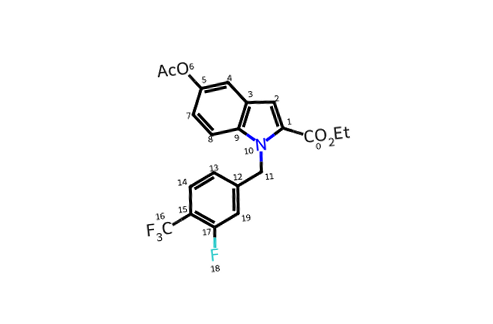 CCOC(=O)c1cc2cc(OC(C)=O)ccc2n1Cc1ccc(C(F)(F)F)c(F)c1